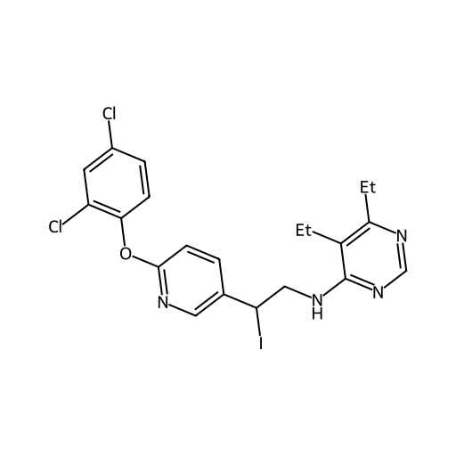 CCc1ncnc(NCC(I)c2ccc(Oc3ccc(Cl)cc3Cl)nc2)c1CC